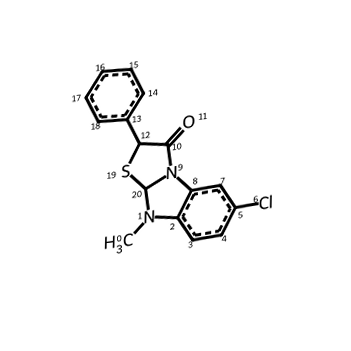 CN1c2ccc(Cl)cc2N2C(=O)C(c3ccccc3)SC12